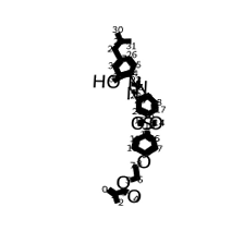 C=C(C)C(=O)OCCOc1ccc(S(=O)(=O)c2ccc3c(c2)n2n(-c4ccc(CC(C)C)cc4O)n32)cc1